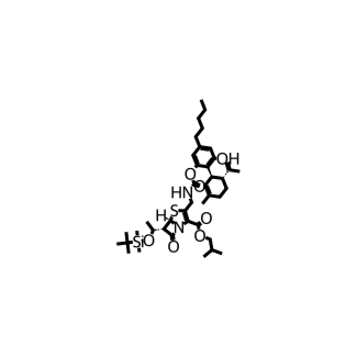 C=C(C)[C@@H]1CCC(C)=C[C@H]1c1c(O)cc(CCCCC)cc1OC(=O)NCC1=C(C(=O)OCC(C)C)N2C(=O)[C@H](C(C)O[Si](C)(C)C(C)(C)C)[C@H]2S1